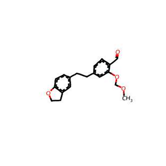 COCOc1cc(CCc2ccc3c(c2)CCO3)ccc1C=O